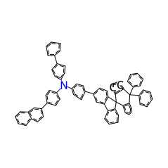 c1ccc(-c2ccc(N(c3ccc(-c4ccc5c(c4)-c4ccccc4C54c5ccccc5C(c5ccccc5)(c5ccccc5)c5ccccc54)cc3)c3ccc(-c4ccc5ccccc5c4)cc3)cc2)cc1